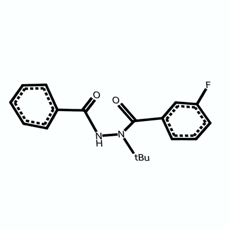 CC(C)(C)N(NC(=O)c1ccccc1)C(=O)c1cccc(F)c1